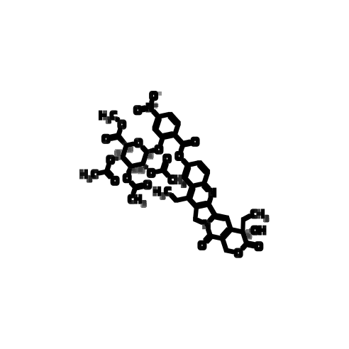 CCc1c2c(nc3ccc(OC(=O)c4ccc([N+](=O)[O-])cc4O[C@@H]4O[C@H](C(=O)OC)[C@@H](OC(C)=O)[C@H](OC(C)=O)[C@H]4OC(C)=O)cc13)-c1cc3c(c(=O)n1C2)COC(=O)[C@]3(O)CC